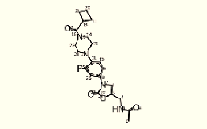 CC(=O)NCC1CN(c2ccc(N3CCN(C(=O)C4CCC4)CC3)c(F)c2)C(=O)O1